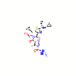 Cc1c(C(=O)N(C(=O)c2csc(N(CC3CC3)C3CC3)n2)[C@H]([C]=O)CC2CC2)ncn1C(=O)NN